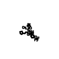 CC(C)(C)OC(=O)[C@H](CC=O)N(NS(=O)(=O)c1cccc(OC(F)(F)F)c1)C(=O)CCC1CCCC1